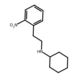 O=[N+]([O-])c1ccccc1CCNC1CCCCC1